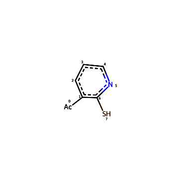 CC(=O)c1cccnc1S